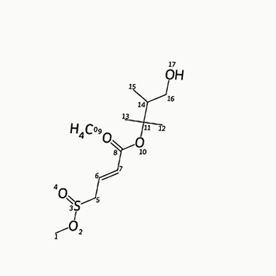 C.COS(=O)C/C=C/C(=O)OC(C)(C)C(C)CO